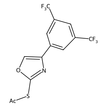 CC(=O)Sc1nc(-c2cc(C(F)(F)F)cc(C(F)(F)F)c2)co1